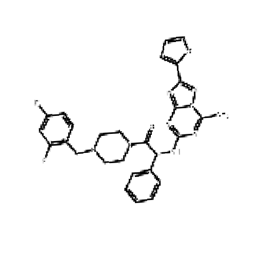 Nc1nc(N[C@H](C(=O)N2CCN(Cc3ccc(F)cc3F)CC2)c2ccccc2)nc2nc(-c3ccco3)nn12